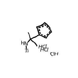 CC(C)([NH][Ti])c1ccccc1.Cl.Cl.Cl